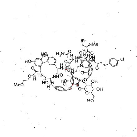 CN[C@H](CC(C)C)C(=O)N[C@H]1C(=O)N[C@@H](CC(N)=O)C(=O)N[C@H]2C(=O)N[C@H]3C(=O)N[C@H](C(=O)N[C@@H](C(=O)NOCCOC)c4cc(O)cc(O)c4-c4cc3ccc4O)[C@H](O)c3ccc(c(Cl)c3)Oc3cc2cc(c3O[C@@H]2O[C@H](CO)[C@@H](O)[C@H](O)[C@H]2O[C@H]2C[C@](C)(NCCn3ccc(NC(=O)/C=C/c4ccc(Cl)cc4)nc3=O)[C@H](O)[C@H](C)O2)Oc2ccc(cc2Cl)[C@H]1O